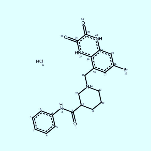 Cl.O=C(Nc1ccccc1)C1CCCN(Cc2cc(Br)cc3[nH]c(=O)c(=O)[nH]c23)C1